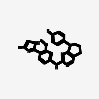 COc1cc(Nc2ncc3c(n2)C(c2ccc(F)cc2)CCC3)ccc1-c1nc(C)c[nH]1